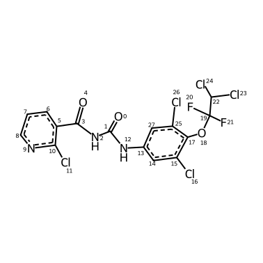 O=C(NC(=O)c1cccnc1Cl)Nc1cc(Cl)c(OC(F)(F)C(Cl)Cl)c(Cl)c1